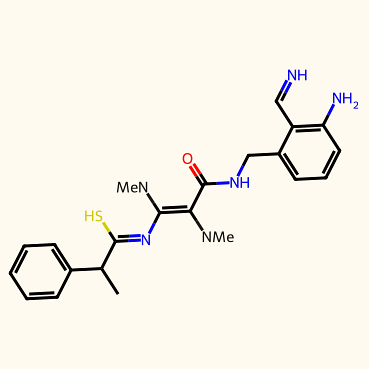 CNC(/N=C(\S)C(C)c1ccccc1)=C(/NC)C(=O)NCc1cccc(N)c1C=N